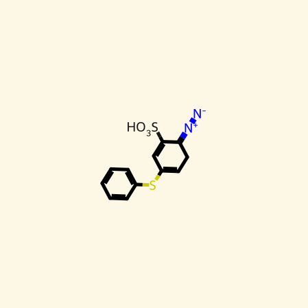 [N-]=[N+]=C1CC=C(Sc2ccccc2)C=C1S(=O)(=O)O